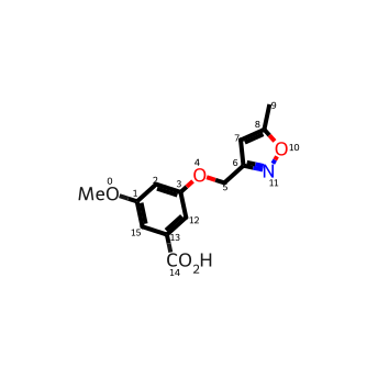 COc1cc(OCc2cc(C)on2)cc(C(=O)O)c1